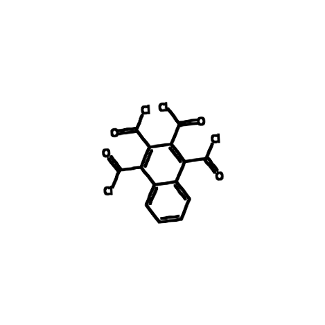 O=C(Cl)c1c(C(=O)Cl)c(C(=O)Cl)c2ccccc2c1C(=O)Cl